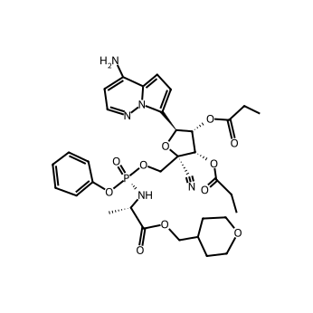 CCC(=O)O[C@H]1[C@H](c2ccc3c(N)ccnn23)O[C@](C#N)(CO[P@@](=O)(N[C@@H](C)C(=O)OCC2CCOCC2)Oc2ccccc2)[C@H]1OC(=O)CC